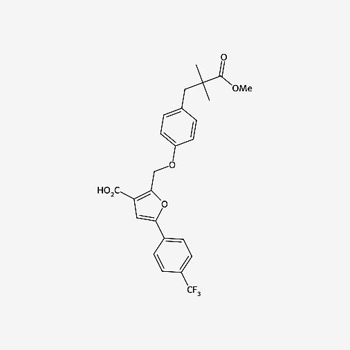 COC(=O)C(C)(C)Cc1ccc(OCc2oc(-c3ccc(C(F)(F)F)cc3)cc2C(=O)O)cc1